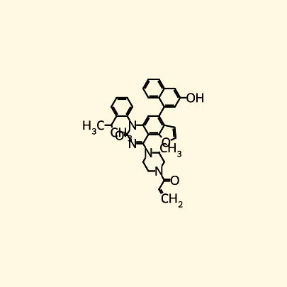 C=CC(=O)N1CCN(c2nc(=O)n(-c3ccccc3C(C)C)c3cc(-c4cc(O)cc5ccccc45)c4ccoc4c23)[C@@H](C)C1